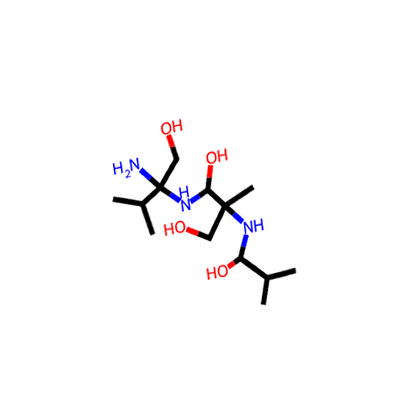 CC(C)C(O)NC(C)(CO)C(O)NC(N)(CO)C(C)C